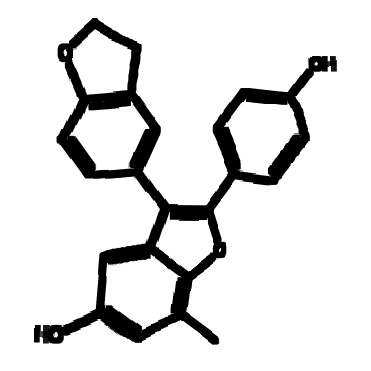 Cc1cc(O)cc2c(-c3ccc4c(c3)CCO4)c(-c3ccc(O)cc3)oc12